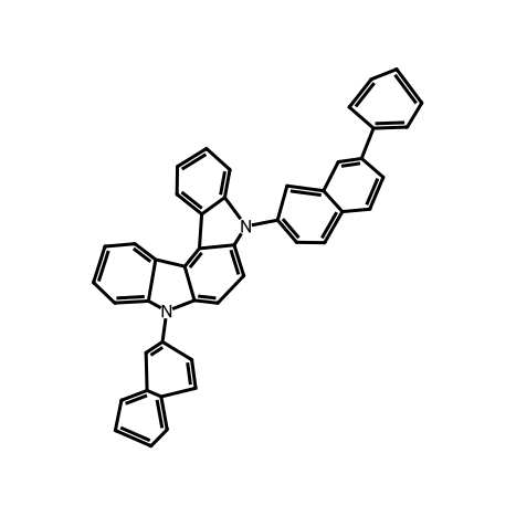 c1ccc(-c2ccc3ccc(-n4c5ccccc5c5c6c7ccccc7n(-c7ccc8ccccc8c7)c6ccc54)cc3c2)cc1